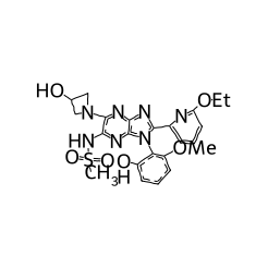 CCOC1=NC(c2nc3nc(N4CC(O)C4)c(NS(C)(=O)=O)nc3n2-c2c(O)cccc2OC)=C=C=C1